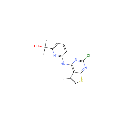 Cc1csc2nc(Cl)nc(Nc3cccc(C(C)(C)O)n3)c12